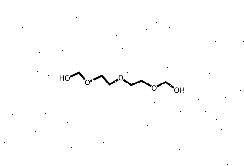 OCOCCOCCOCO